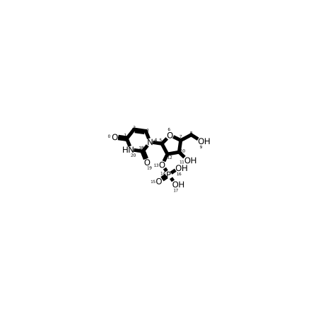 O=c1ccn(C2OC(CO)C(O)C2OP(=O)(O)O)c(=O)[nH]1